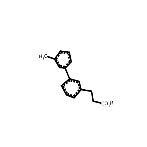 Cc1cccc(-c2cccc(CCC(=O)O)c2)c1